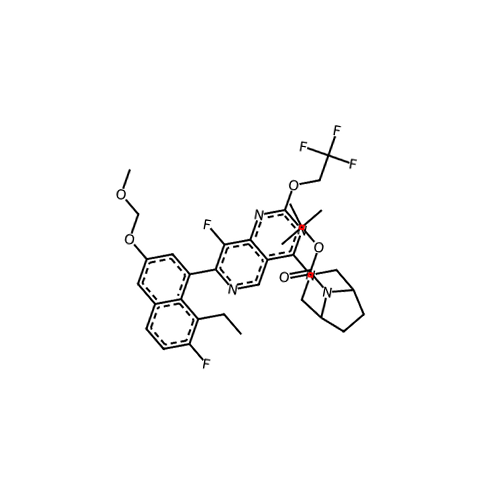 CCc1c(F)ccc2cc(OCOC)cc(-c3ncc4c(N5CC6CCC(C5)N6C(=O)OC(C)(C)C)nc(OCC(F)(F)F)nc4c3F)c12